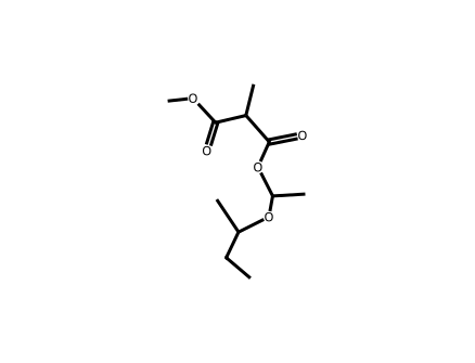 CCC(C)OC(C)OC(=O)C(C)C(=O)OC